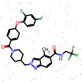 Cc1c(C(=O)NCC(F)(F)F)ccc2nn(CC3CCN(C(=O)C4=CCC(Oc5ccc(F)cc5F)C=C4)CC3)cc12